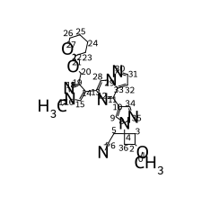 COC1CC(CC#N)(n2cc(-c3nc(-c4cn(C)nc4COC4CCCCO4)cn4nccc34)cn2)C1